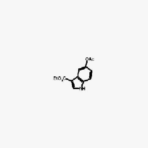 CCOC(=O)c1c[nH]c2ccc(OC(C)=O)cc12